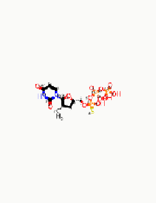 C[C@H]1C[C@@H](COP(O)(=S)OP(=O)(O)OP(=O)(O)O)O[C@H]1n1ccc(=O)[nH]c1=O